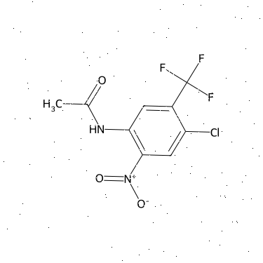 CC(=O)Nc1cc(C(F)(F)F)c(Cl)cc1[N+](=O)[O-]